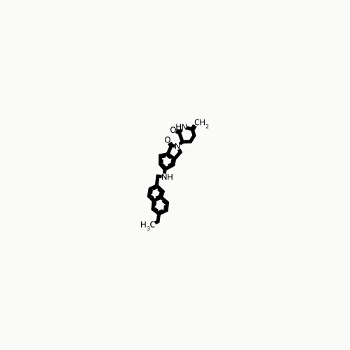 C=C1CCC(N2Cc3cc(NCc4ccc5cc(CC)ccc5c4)ccc3C2=O)C(=O)N1